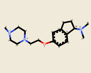 CN1CCN(CCOc2ccc3c(c2)CCC3N(C)C)CC1